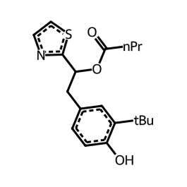 CCCC(=O)OC(Cc1ccc(O)c(C(C)(C)C)c1)c1nccs1